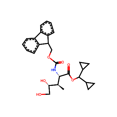 C[C@H]([C@H](NC(=O)OCC1c2ccccc2-c2ccccc21)C(=O)OC(C1CC1)C1CC1)[C@@H](O)CO